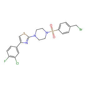 O=S(=O)(c1ccc(CBr)cc1)N1CCN(c2nc(-c3ccc(F)c(Cl)c3)cs2)CC1